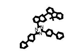 CC1(C)c2ccccc2-c2cccc(-c3ccc4c(-c5nc(-c6ccc(-c7ccccc7)cc6)nc(-c6ccc(-c7ccccc7)cc6)n5)cccc4c3)c21